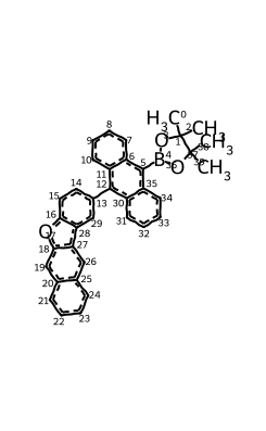 CC1(C)OB(c2c3ccccc3c(-c3ccc4oc5cc6ccccc6cc5c4c3)c3ccccc23)OC1(C)C